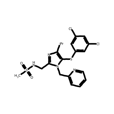 CC(C)c1nc(CNS(C)(=O)=O)n(Cc2ccccn2)c1Sc1cc(Cl)cc(Cl)c1